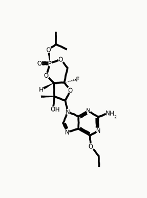 CCOc1nc(N)nc2c1ncn2C1O[C@]2(F)CO[P@](=O)(OC(C)C)O[C@H]2[C@@]1(C)O